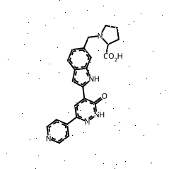 O=C(O)C1CCCN1Cc1ccc2cc(-c3cc(-c4ccncc4)n[nH]c3=O)[nH]c2c1